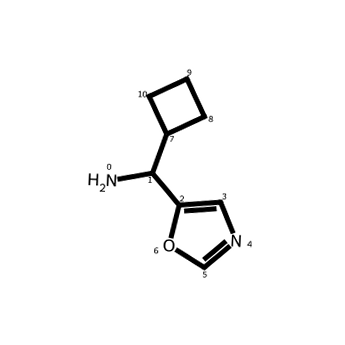 NC(c1cnco1)C1CCC1